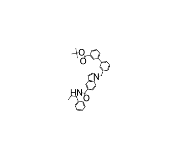 CCC(NC(=O)c1ccc2c(ccn2Cc2cccc(-c3cccc(C(=O)OC(C)(C)C)c3)c2)c1)c1ccccc1